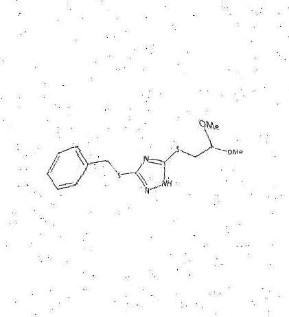 COC(CSc1nc(SCc2ccccc2)n[nH]1)OC